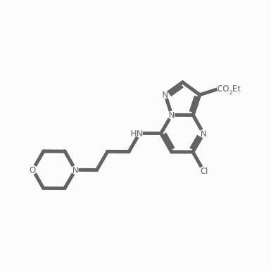 CCOC(=O)c1cnn2c(NCCCN3CCOCC3)cc(Cl)nc12